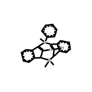 CCC1=C2c3ccccc3[CH]1[Zr]([CH3])([CH3])[CH]1C(CC)=C(c3ccccc31)[Si]2(C)c1ccccc1